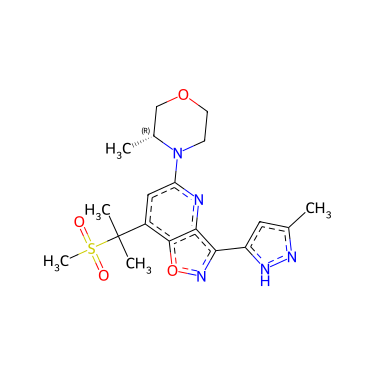 Cc1cc(-c2noc3c(C(C)(C)S(C)(=O)=O)cc(N4CCOC[C@H]4C)nc23)[nH]n1